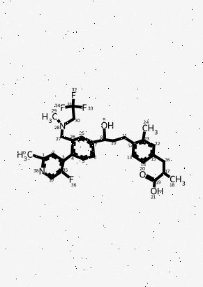 Cc1cc(-c2ccc(C(O)CCc3ccc(CC(C)C(=O)O)cc3C)cc2CN(C)CC(F)(F)F)c(F)cn1